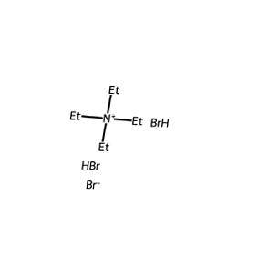 Br.Br.CC[N+](CC)(CC)CC.[Br-]